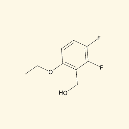 CCOc1ccc(F)c(F)c1CO